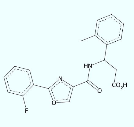 Cc1ccccc1C(CC(=O)O)NC(=O)c1coc(-c2ccccc2F)n1